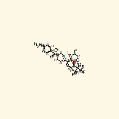 C[C@H]1COCCN1C[C@H]1CN(S(=O)(=O)c2ccc(N)nc2)CCN1c1ncc(C(O)(C(F)(F)F)C(F)(F)F)cn1